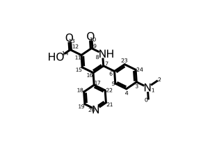 CN(C)c1ccc(-c2[nH]c(=O)c(C(=O)O)cc2-c2ccncc2)cc1